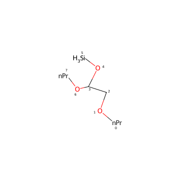 CCCOCC(O[SiH3])OCCC